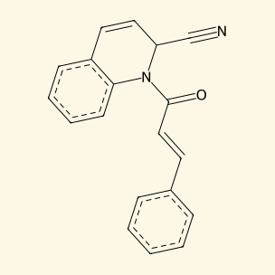 N#CC1C=Cc2ccccc2N1C(=O)/C=C/c1ccccc1